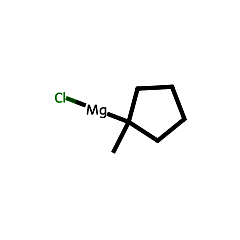 C[C]1([Mg][Cl])CCCC1